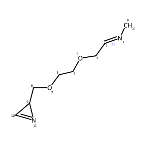 C/N=C/COCCOCC1C=N1